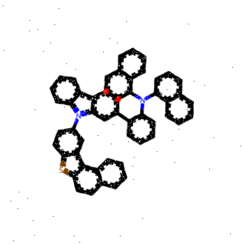 c1ccc(N(c2cccc3ccccc23)c2cccc3ccccc23)c(-c2ccc3c4ccccc4n(-c4ccc5sc6ccc7ccccc7c6c5c4)c3c2)c1